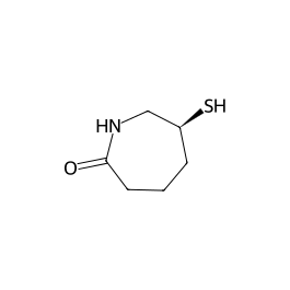 O=C1CCC[C@H](S)CN1